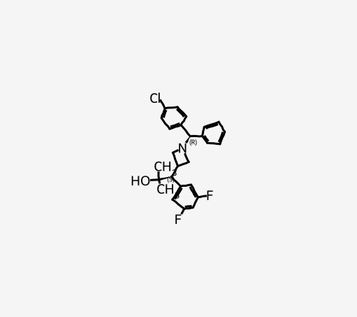 CC(C)(O)[C@H](c1cc(F)cc(F)c1)C1CN([C@H](c2ccccc2)c2ccc(Cl)cc2)C1